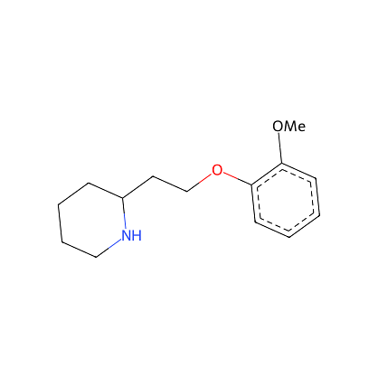 COc1ccccc1OCCC1CCCCN1